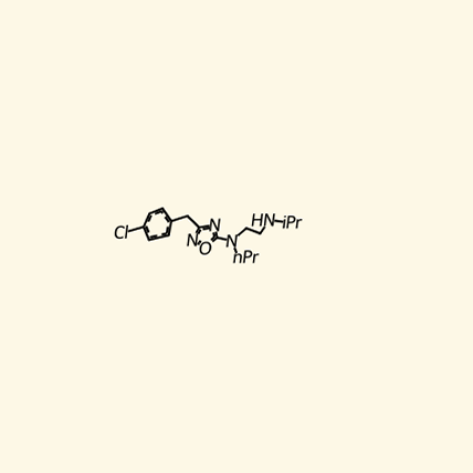 CCCN(CCNC(C)C)c1nc(Cc2ccc(Cl)cc2)no1